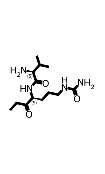 CCC(=O)[C@H](CCCNC(N)=O)NC(=O)[C@@H](N)C(C)C